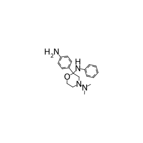 CN(C)N1CCOC(Nc2ccccc2)(c2ccc(N)cc2)C1